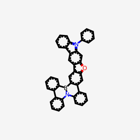 c1ccc(-n2c3ccccc3c3cc4c(cc32)oc2cc3c(cc24)B2c4ccccc4-c4ccccc4N2c2ccccc2-3)cc1